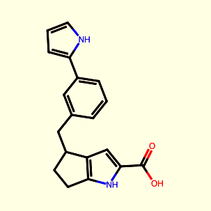 O=C(O)c1cc2c([nH]1)CCC2Cc1cccc(-c2ccc[nH]2)c1